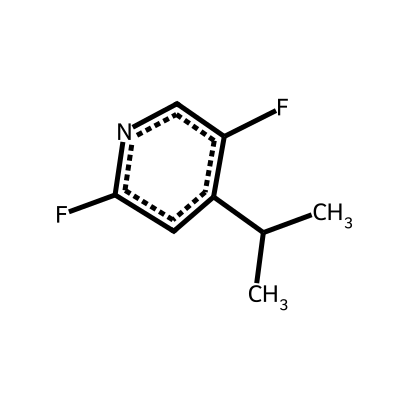 CC(C)c1cc(F)ncc1F